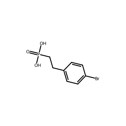 O=P(O)(O)CCc1ccc(Br)cc1